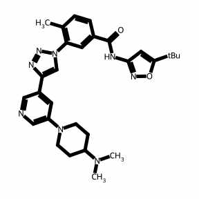 Cc1ccc(C(=O)Nc2cc(C(C)(C)C)on2)cc1-n1cc(-c2cncc(N3CCC(N(C)C)CC3)c2)nn1